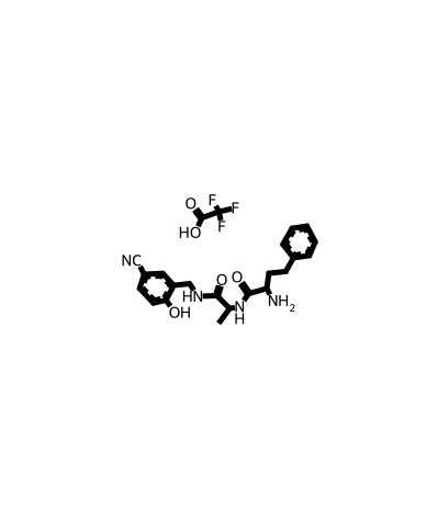 CC(NC(=O)C(N)CCc1ccccc1)C(=O)NCc1cc(C#N)ccc1O.O=C(O)C(F)(F)F